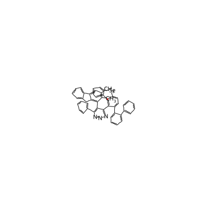 Cc1cc2c(c(-c3c(-c4ccccc4)nnnc3-c3c(-c4ccccc4-c4ccccc4)ccc4[se]c5ccccc5c34)c1C)Cc1ccccc1-2